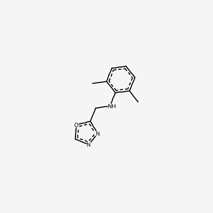 Cc1cccc(C)c1NCc1nnco1